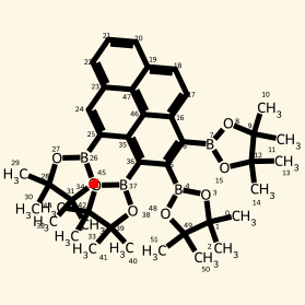 CC1(C)OB(c2c(B3OC(C)(C)C(C)(C)O3)c3ccc4cccc5cc(B6OC(C)(C)C(C)(C)O6)c(c2B2OC(C)(C)C(C)(C)O2)c3c45)OC1(C)C